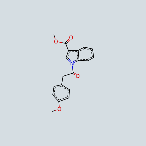 COC(=O)c1cn(C(=O)Cc2ccc(OC)cc2)c2ccccc12